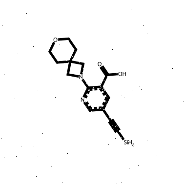 O=C(O)c1cc(C#C[SiH3])cnc1N1CC2(CCOCC2)C1